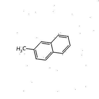 Cc1ccc2[c]cc[c]c2c1